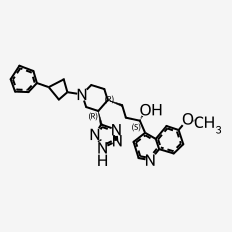 COc1ccc2nccc([C@@H](O)CC[C@@H]3CCN(C4CC(c5ccccc5)C4)C[C@@H]3c3nn[nH]n3)c2c1